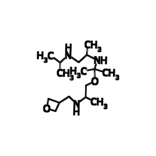 CC(C)NCC(C)NC(C)(C)OCC(C)NCC1COC1